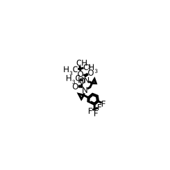 COC(=O)N(CC1(NC(=O)OC(C)(C)C)CC1)C1(c2ccc(F)c(C(F)(F)F)c2)CC1